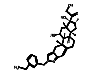 C[C@@H]1C[C@H]2[C@@H]3CCC4=Cc5nn(Cc6cccc(CP)c6)cc5C[C@]4(C)[C@@]3(F)[C@@H](O)C[C@]2(C)[C@@]1(O)C(=O)CO